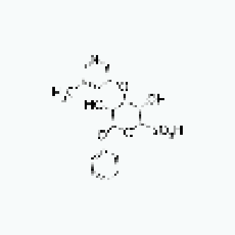 Cc1cncc(O[C@@H]2[C@@H](O)[C@H](Oc3ccccc3)OC(S(=O)(=O)O)[C@H]2O)c1